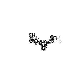 CCOC(=O)c1ccc(-n2cc(C#N)c(-c3ccccc3OCCCCOC(C)=O)c2)cc1